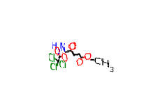 CCOC(=O)CCC(=O)C(N)OC(=O)C(Cl)(Cl)Cl